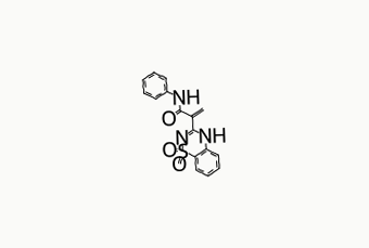 C=C(C(=O)Nc1ccccc1)C1=NS(=O)(=O)c2ccccc2N1